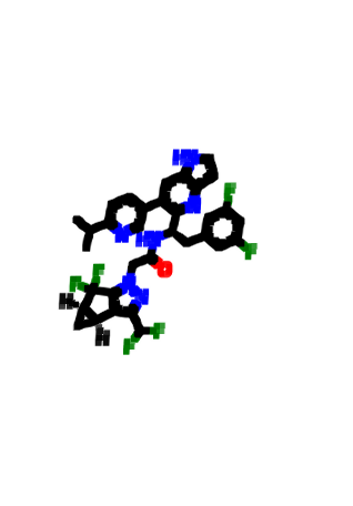 CC(C)c1ccc(-c2cc3[nH]ccc3nc2[C@@H](Cc2cc(F)cc(F)c2)NC(=O)Cn2nc(C(F)F)c3c2C(F)(F)[C@@H]2C[C@H]32)cn1